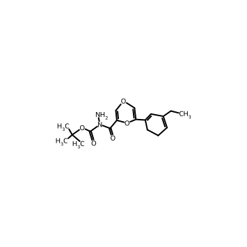 CCC1=CCCC(C2=COC=C(C(=O)N(N)C(=O)OC(C)(C)C)O2)=C1